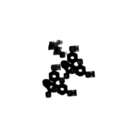 CC(=O)[O-].CC(=O)[O-].O=C1OC2(c3ccc(O)cc3Oc3cc(O)ccc32)c2ccccc21.O=C1OC2(c3ccc(O)cc3Oc3cc(O)ccc32)c2ccccc21.[Hg+2]